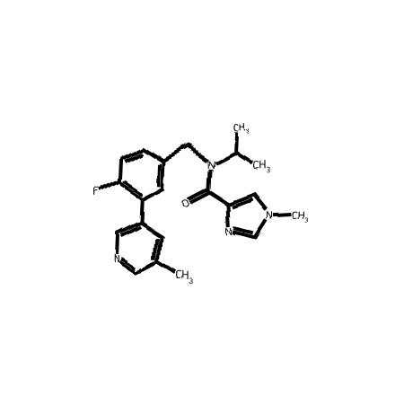 Cc1cncc(-c2cc(CN(C(=O)c3cn(C)cn3)C(C)C)ccc2F)c1